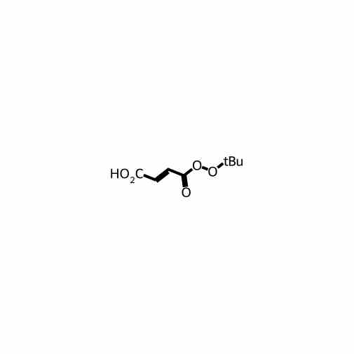 CC(C)(C)OOC(=O)C=CC(=O)O